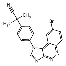 CC(C)(C#N)c1ccc(-n2cnc3nnc4ccc(Br)cc4c32)cc1